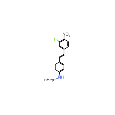 CCCCCCCNc1ccc(C=Cc2ccc([N+](=O)[O-])c(F)c2)cc1